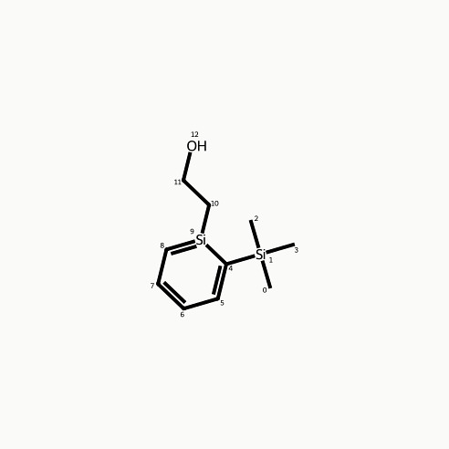 C[Si](C)(C)c1cccc[si]1CCO